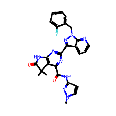 Cn1ccc(NC(=O)c2nc(-c3nn(Cc4ccccc4F)c4ncccc34)nc3c2C(C)(C)C(=O)N3)n1